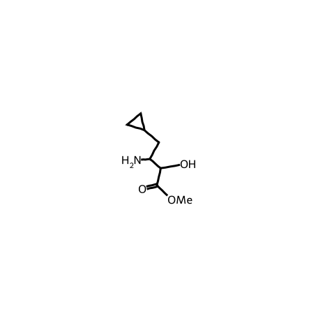 COC(=O)C(O)C(N)CC1CC1